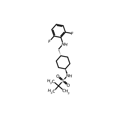 CC(C)(C)S(=O)(=O)N[C@H]1CC[C@H](CNc2c(F)cccc2F)CC1